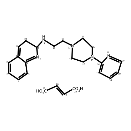 C1=c2ccccc2=NC(NCCN2CCN(c3ccccn3)CC2)C1.O=C(O)C=CC(=O)O